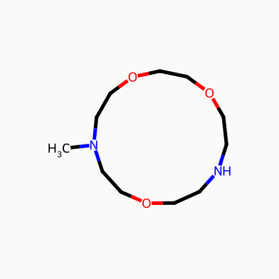 CN1CCOCCNCCOCCOCC1